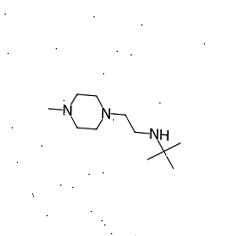 CN1CCN(CCNC(C)(C)C)CC1